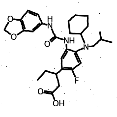 CCC(CC(=O)O)c1cc(NC(=O)Nc2ccc3c(c2)OCO3)c(N(CC(C)C)C2CCCCC2)cc1F